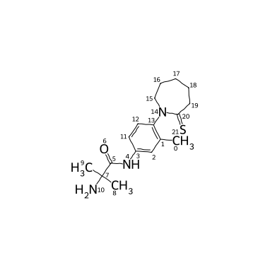 Cc1cc(NC(=O)C(C)(C)N)ccc1N1CCCCCC1=S